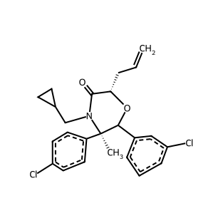 C=CC[C@@H]1OC(c2cccc(Cl)c2)[C@@](C)(c2ccc(Cl)cc2)N(CC2CC2)C1=O